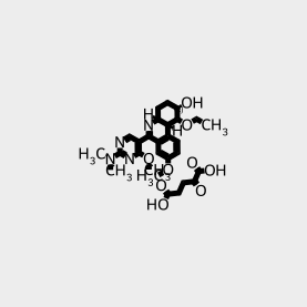 CCOC1[C@H](O)CC[C@H]2N=C(c3cnc(N(C)C)nc3OC)c3cc(OC)ccc3[C@@H]12.O=C(O)CCC(=O)C(=O)O